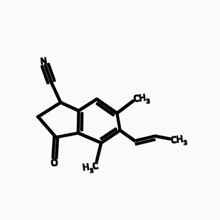 C/C=C/c1c(C)cc2c(c1C)C(=O)CC2C#N